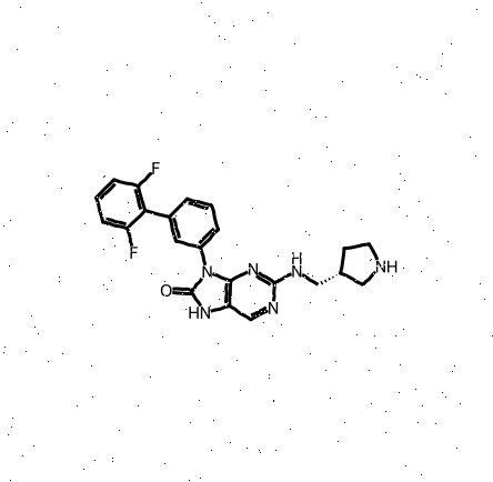 O=c1[nH]c2cnc(NC[C@@H]3CCNC3)nc2n1-c1cccc(-c2c(F)cccc2F)c1